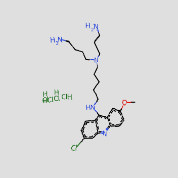 COc1ccc2nc3cc(Cl)ccc3c(NCCCCCN(CCCN)CCCCN)c2c1.Cl.Cl.Cl.Cl